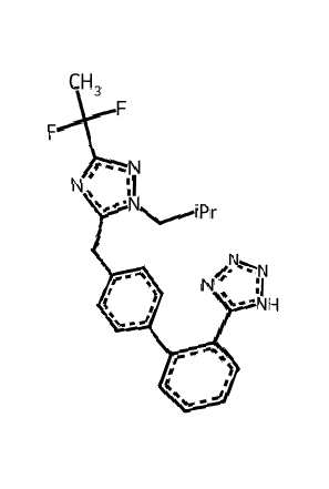 CC(C)Cn1nc(C(C)(F)F)nc1Cc1ccc(-c2ccccc2-c2nnn[nH]2)cc1